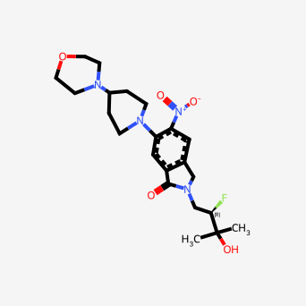 CC(C)(O)[C@H](F)CN1Cc2cc([N+](=O)[O-])c(N3CCC(N4CCOCC4)CC3)cc2C1=O